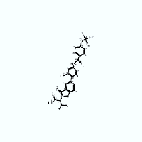 CC(C)C(C(=O)O)N1Cc2ccc(-c3ccc(NC(=O)c4ccc(OC(F)(F)F)cc4)cc3Cl)cc2C1=O